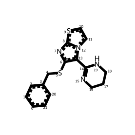 c1ccc(CSc2nc3sccn3c2C2=NCCCN2)cc1